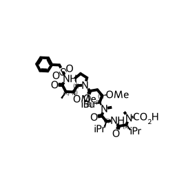 CC[C@H](C)[C@@H]([C@H](CC(=O)N1CCC[C@H]1[C@H](OC)[C@@H](C)C(=O)NS(=O)(=O)Cc1ccccc1)OC)N(C)C(=O)[C@@H](NC(=O)[C@H](C(C)C)N(C)C(=O)O)C(C)C